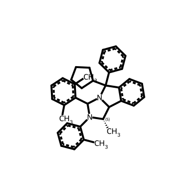 Cc1ccccc1N1C(c2c(C)cccc2C)N2C(c3ccccc3C2(c2ccccc2)C2CCCC2)[C@@H]1C